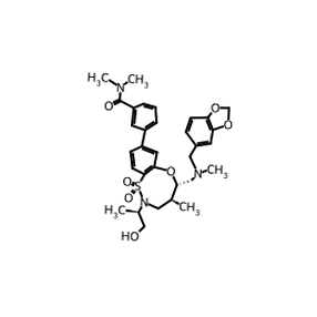 C[C@H](CO)N1C[C@H](C)[C@@H](CN(C)Cc2ccc3c(c2)OCO3)Oc2cc(-c3cccc(C(=O)N(C)C)c3)ccc2S1(=O)=O